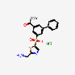 COC(=O)c1cc(-c2ccccc2)cc(S(=O)(=O)c2cnc(CN)s2)c1.Cl